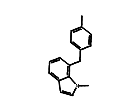 Cc1ccc(Cc2cccc3c[c]n(C)c23)cc1